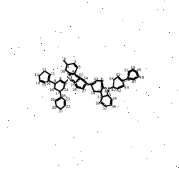 CC1C=Cc2c(n(C3=CC(C4=CCCC=C4)CC(C4=CCCC=C4)C3)c3ccc(C4=CC=C5C(C4)C4C=CC=CC4N5C4C=CC(c5ccccc5)=CC4)cc23)C1